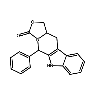 O=C1OCC2Cc3c([nH]c4ccccc34)C(c3ccccc3)N12